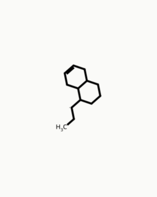 CC[CH]C1CCCC2CC=CCC12